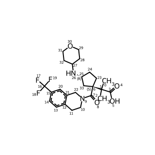 CC(C)(C(=O)O)[C@]1(C(=O)N2CCc3ccc(C(F)(F)F)cc3C2)CC[C@@H](NC2CCOCC2)C1